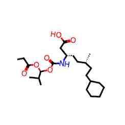 CCC(=O)O[C@@H](OC(=O)N[C@@H](CC[C@H](C)CCC1CCCCC1)CC(=O)O)C(C)C